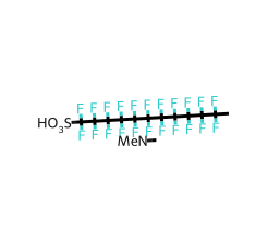 CC(F)(F)C(F)(F)C(F)(F)C(F)(F)C(F)(F)C(F)(F)C(F)(F)C(F)(F)C(F)(F)C(F)(F)C(F)(F)S(=O)(=O)O.CNC